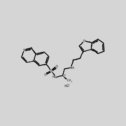 C[C@H](CNCCc1coc2ccccc12)NS(=O)(=O)c1ccc2cnccc2c1.Cl